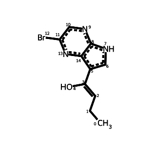 CC/C=C(\O)c1c[nH]c2ncc(Br)nc12